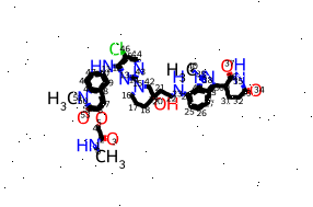 CNC(=O)COc1cc2cc(Nc3nc(N4CCC[C@](O)(CCNc5cccc6c(C7CCC(=O)NC7=O)nn(C)c56)C4)ncc3Cl)ccc2n(C)c1=O